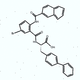 O=C(Nc1ccc(Br)cc1C(=O)N[C@@H](Cc1ccc(-c2ccccc2)cc1)C(=O)O)c1ccc2ccccc2c1